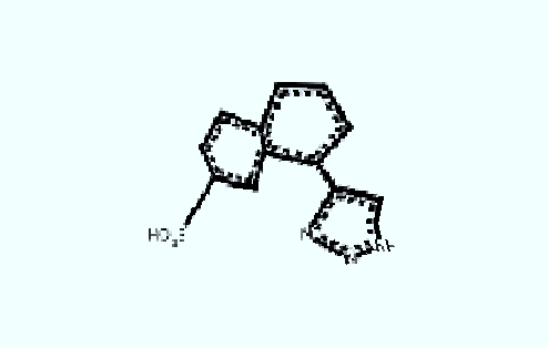 O=S(=O)(O)c1ccc2cccc(-c3c[nH]nn3)c2c1